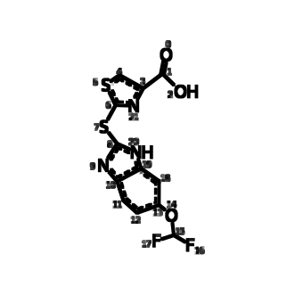 O=C(O)c1csc(Sc2nc3ccc(OC(F)F)cc3[nH]2)n1